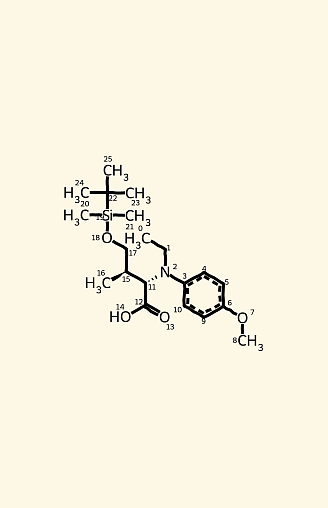 CCN(c1ccc(OC)cc1)[C@H](C(=O)O)[C@@H](C)CO[Si](C)(C)C(C)(C)C